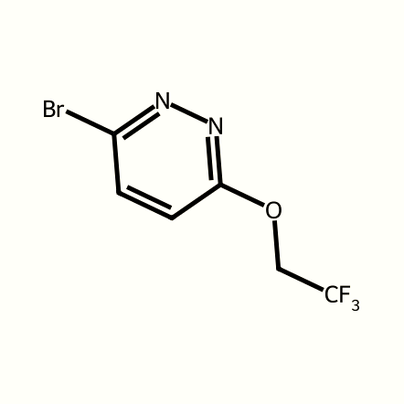 FC(F)(F)COc1ccc(Br)nn1